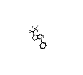 O=C(N1CCc2c1cnn2-c1ccccc1)C(F)(F)F